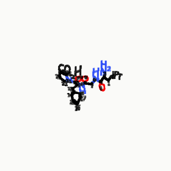 CC(C)C[C@H](N)C(=O)NCC(=O)N[C@@H](Cc1ccccc1)C(=O)N1CCC[C@H]1C(=O)O